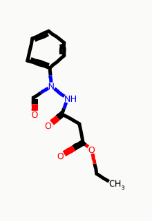 CCOC(=O)CC(=O)NN(C=O)c1ccccc1